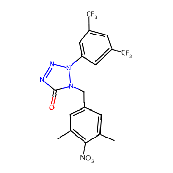 Cc1cc(Cn2c(=O)nnn2-c2cc(C(F)(F)F)cc(C(F)(F)F)c2)cc(C)c1[N+](=O)[O-]